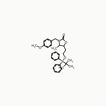 COc1ccc(CN2C(=O)OC(CCO[Si](c3ccccc3)(c3ccccc3)C(C)(C)C)C2C)cc1